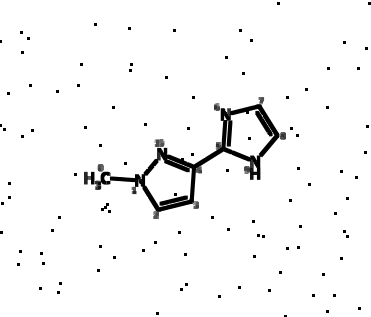 Cn1ccc(-c2ncc[nH]2)n1